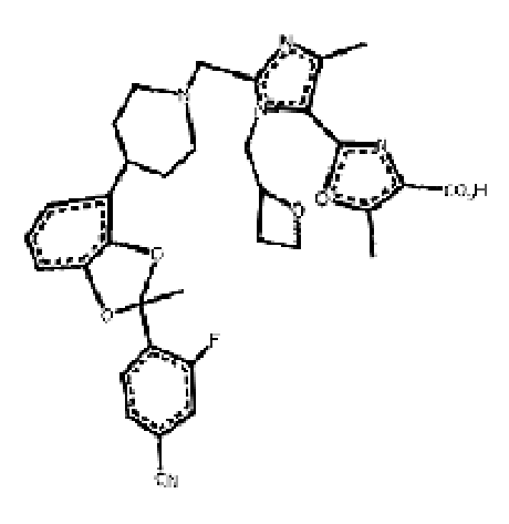 Cc1nc(CN2CCC(c3cccc4c3OC(C)(c3ccc(C#N)cc3F)O4)CC2)n(CC2CCO2)c1-c1nc(C(=O)O)c(C)o1